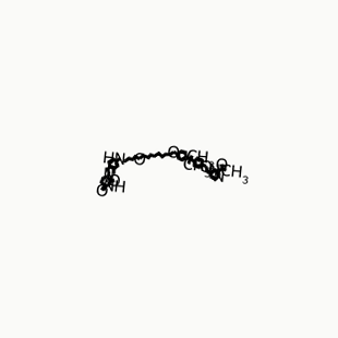 CC(=O)c1nccc(COc2ccc(C(C)(C)c3ccc(OCCCCCCCCOCCCCNc4ccc5c(c4)CN(C4CCC(=O)NC4=O)C5)cc3)cc2)n1